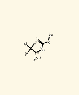 [2H]C([2H])([2H])[C@H](NC(=O)OC(C)(C)C)C(=O)O